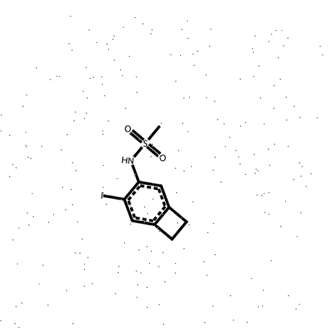 CS(=O)(=O)Nc1cc2c(cc1I)CC2